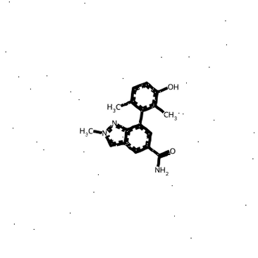 Cc1ccc(O)c(C)c1-c1cc(C(N)=O)cc2cn(C)nc12